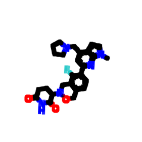 Cn1ccc2c(CN3CCCC3)cc(-c3ccc4c(c3F)CN(C3CCC(=O)NC3=O)OC4)nc21